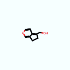 OCC1=C2C=COC=C2CC1